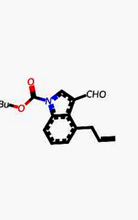 C=CCc1cccc2c1c(C=O)cn2C(=O)OC(C)(C)C